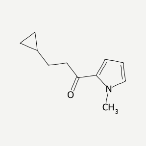 Cn1cccc1C(=O)CCC1CC1